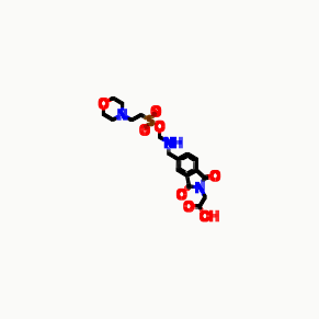 O=C(O)CN1C(=O)c2ccc(CNCOS(=O)(=O)CCN3CCOCC3)cc2C1=O